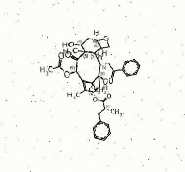 CC(=O)O[C@H]1C(=O)[C@@]2(C)[C@@H]([C@@H]3CO[C@@H]3C[C@@H]2O)[C@H](CC(=O)c2ccccc2)[C@]2(O)C[C@H](OC(=O)[C@H](C)Cc3ccccc3)C(C)=C1C2(C)C